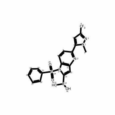 Cn1nc(C(F)(F)F)cc1-c1ccc2c(cc(B(O)O)n2S(=O)(=O)c2ccccc2)n1